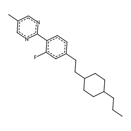 CCCC1CCC(CCc2ccc(-c3ncc(C)cn3)c(F)c2)CC1